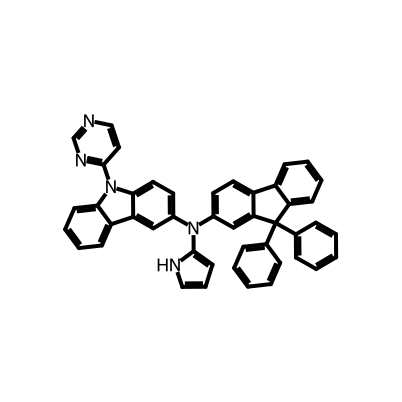 c1ccc(C2(c3ccccc3)c3ccccc3-c3ccc(N(c4ccc5c(c4)c4ccccc4n5-c4ccncn4)c4ccc[nH]4)cc32)cc1